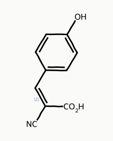 N#C/C(=C/c1ccc(O)cc1)C(=O)O